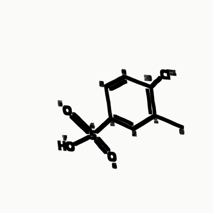 Cc1cc(S(=O)(=O)O)[c]cc1Cl